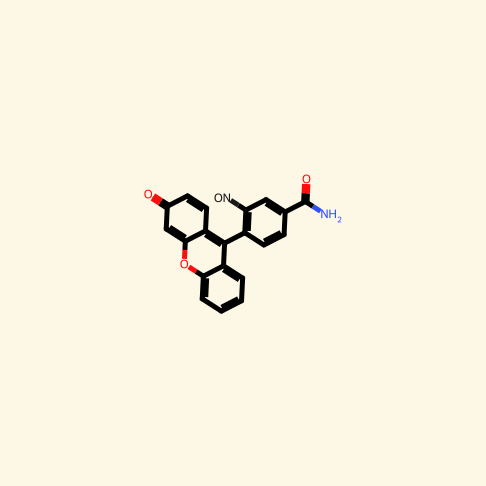 NC(=O)c1ccc(-c2c3ccc(=O)cc-3oc3ccccc23)c(N=O)c1